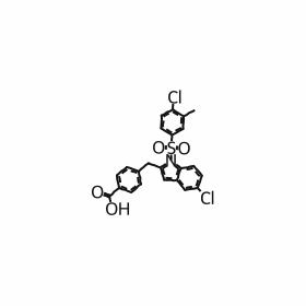 Cc1cc(S(=O)(=O)n2c(Cc3ccc(C(=O)O)cc3)cc3cc(Cl)ccc32)ccc1Cl